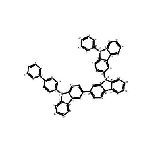 c1ccc(-c2ccc(-n3c4ccccc4c4cc(-c5ccc6c7ccccc7n(-c7ccc8c(c7)c7ccccc7n8-c7ccccc7)c6c5)ccc43)cc2)cc1